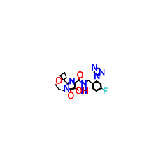 O=C(NCc1ccc(F)cc1-n1cncn1)c1nc2n(c(=O)c1O)CCCOC21CCC1